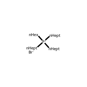 CCCCCCC[P+](CCCCCC)(CCCCCCC)CCCCCCC.[Br-]